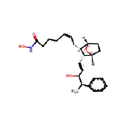 CC(c1ccccc1)C(O)/C=C/[C@@H]1[C@H](C/C=C\CCCC(=O)NO)[C@@H]2CC[C@H]1O2